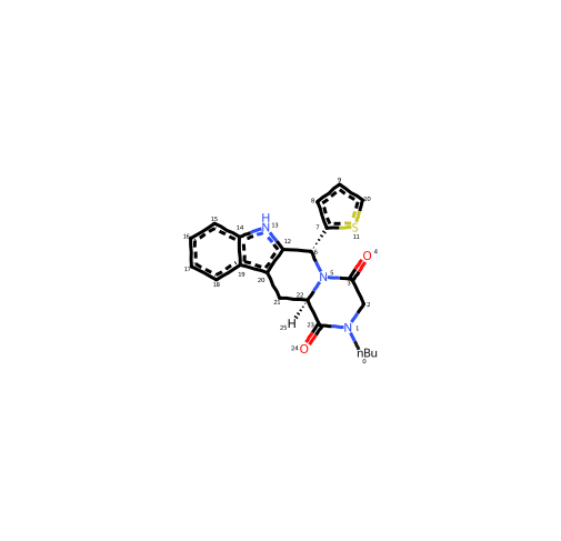 CCCCN1CC(=O)N2[C@@H](c3cccs3)c3[nH]c4ccccc4c3C[C@@H]2C1=O